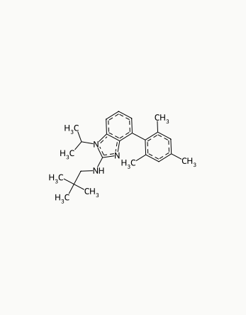 Cc1cc(C)c(-c2cccc3c2nc(NCC(C)(C)C)n3C(C)C)c(C)c1